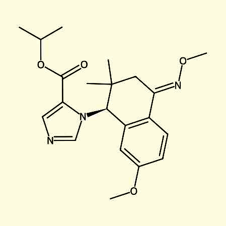 CON=C1CC(C)(C)[C@H](n2cncc2C(=O)OC(C)C)c2cc(OC)ccc21